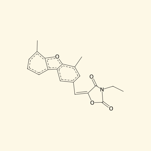 CCN1C(=O)O/C(=C/c2cc(C)c3oc4c(C)cccc4c3c2)C1=O